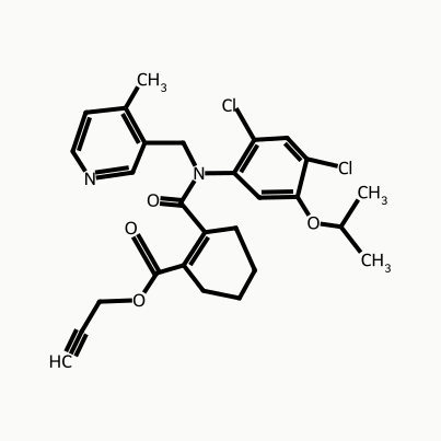 C#CCOC(=O)C1=C(C(=O)N(Cc2cnccc2C)c2cc(OC(C)C)c(Cl)cc2Cl)CCCC1